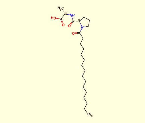 CCCCCCCCCCCCCCCC(=O)N1CCC[C@H]1C(=O)N[C@@H](C)C(=O)O